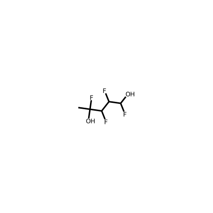 CC(O)(F)C(F)C(F)C(O)F